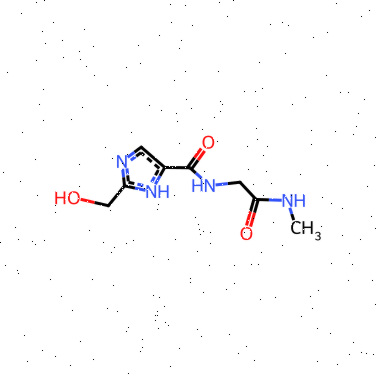 CNC(=O)CNC(=O)c1cnc(CO)[nH]1